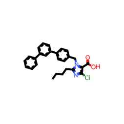 CCCCc1nc(Cl)c(C(=O)O)n1Cc1ccc(-c2cccc(-c3ccccc3)c2)cc1